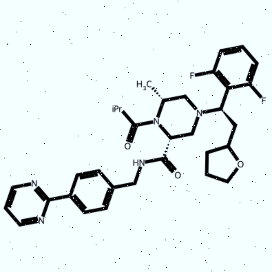 CC(C)C(=O)N1[C@H](C)CN([C@H](CC2CCCO2)c2c(F)cccc2F)C[C@@H]1C(=O)NCc1ccc(-c2ncccn2)cc1